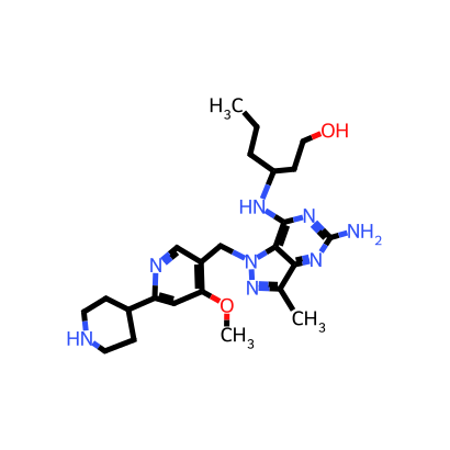 CCCC(CCO)Nc1nc(N)nc2c(C)nn(Cc3cnc(C4CCNCC4)cc3OC)c12